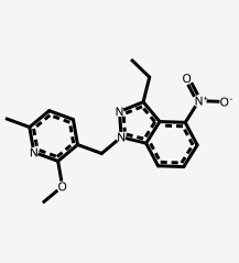 CCc1nn(Cc2ccc(C)nc2OC)c2cccc([N+](=O)[O-])c12